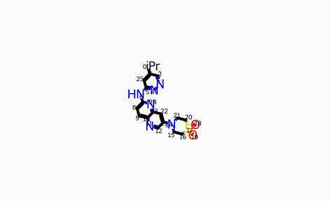 CC(C)c1cnnc(Nc2ccc3ncc(N4CCS(=O)(=O)CC4)cc3n2)c1